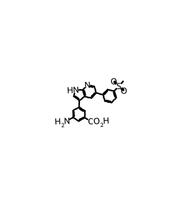 CS(=O)(=O)c1cccc(-c2cnc3[nH]cc(-c4cc(N)cc(C(=O)O)c4)c3c2)c1